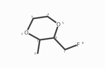 CC1OCCOC1CF